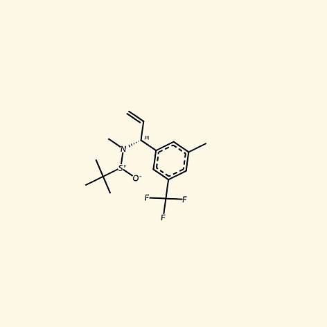 C=C[C@H](c1cc(C)cc(C(F)(F)F)c1)N(C)[S+]([O-])C(C)(C)C